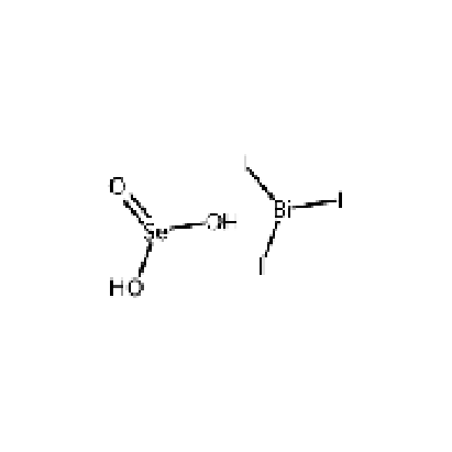 O=[Se](O)O.[I][Bi]([I])[I]